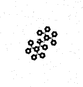 c1ccc(N(c2ccccc2)c2cc(Oc3cscc3N(c3ccccc3)c3cc(N(c4ccccc4)c4ccccc4)cc(N(c4ccccc4)c4ccccc4)c3)cc(N(c3ccccc3)c3ccccc3)c2)cc1